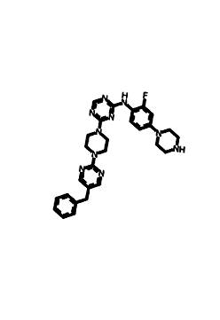 Fc1cc(N2CCNCC2)ccc1Nc1ncnc(N2CCN(c3ncc(Cc4ccccc4)cn3)CC2)n1